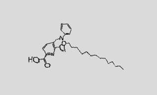 CCCCCCCCCCCCCCON(Cc1ccc(C(=O)O)cc1Cl)c1ccccc1